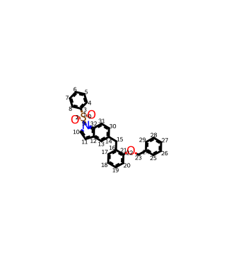 O=S(=O)(c1ccccc1)n1ccc2cc(Cc3ccccc3OCc3ccccc3)ccc21